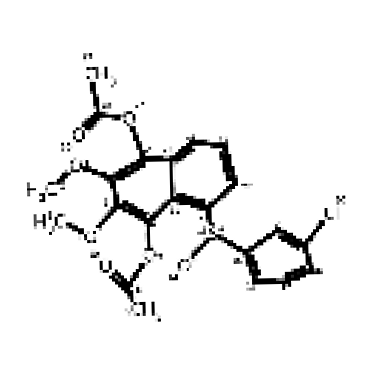 COc1c(OC)c(OC(C)=O)c2c([S+]([O-])c3cccc(Cl)c3)cccc2c1OC(C)=O